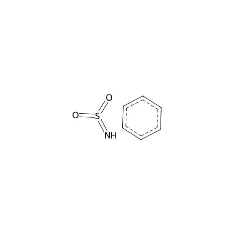 N=S(=O)=O.c1ccccc1